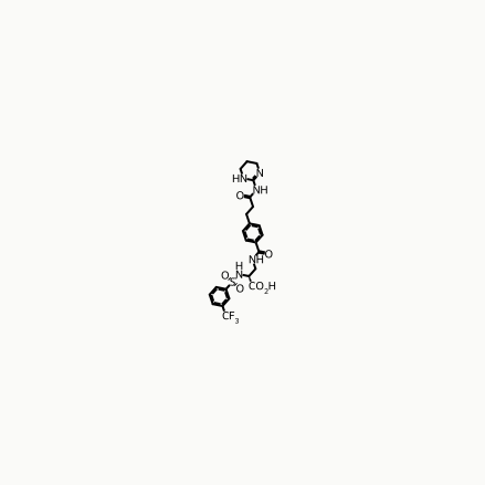 O=C(CCc1ccc(C(=O)NC[C@H](NS(=O)(=O)c2cccc(C(F)(F)F)c2)C(=O)O)cc1)NC1=NCCCN1